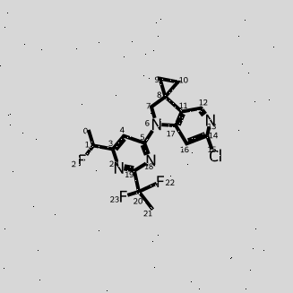 CC(F)c1cc(N2CC3(CC3)c3cnc(Cl)cc32)nc(C(C)(F)F)n1